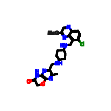 COc1cnc2ccc(Cl)c(CNC3CCC(NCc4nc5c(nc4C)OCC(=O)N5)CC3)c2n1